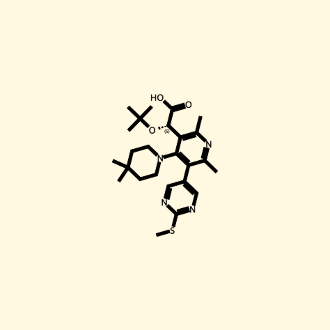 CSc1ncc(-c2c(C)nc(C)c([C@H](OC(C)(C)C)C(=O)O)c2N2CCC(C)(C)CC2)cn1